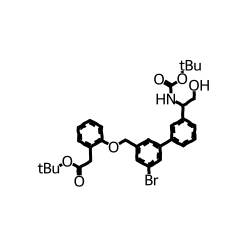 CC(C)(C)OC(=O)Cc1ccccc1OCc1cc(Br)cc(-c2cccc(C(CO)NC(=O)OC(C)(C)C)c2)c1